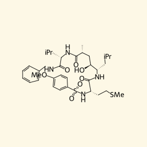 COc1ccc(S(=O)(=O)N[C@@H](CCSC)C(=O)N[C@@H](CC(C)C)[C@@H](O)C[C@@H](C)C(=O)N[C@H](C(=O)NCc2ccccc2)C(C)C)cc1